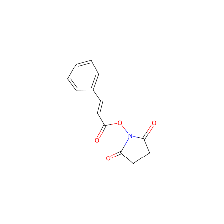 O=C(C=Cc1ccccc1)ON1C(=O)CCC1=O